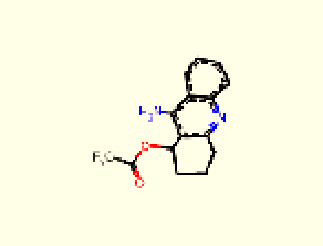 Nc1c2c(nc3ccccc13)CCCC2OC(=O)C(F)(F)F